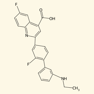 CCNc1cccc(-c2ccc(-c3cc(C(=O)O)c4cc(F)ccc4n3)cc2F)c1